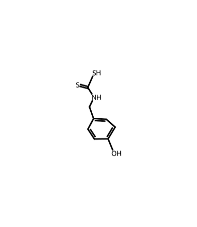 Oc1ccc(CNC(=S)S)cc1